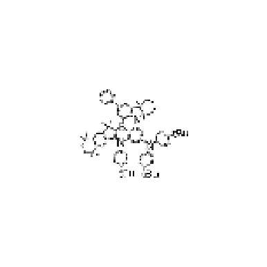 CC(C)(C)c1ccc(N2C3=C(B4c5cc(-c6ccccc6)cc6c5N(c5cc(N(c7ccc(C(C)(C)C)cc7)c7ccc(C(C)(C)C)cc7)cc2c54)C2(C)CCCCC62C)C(C)(C)c2cc4c(cc23)C(C)(C)CCC4(C)C)cc1